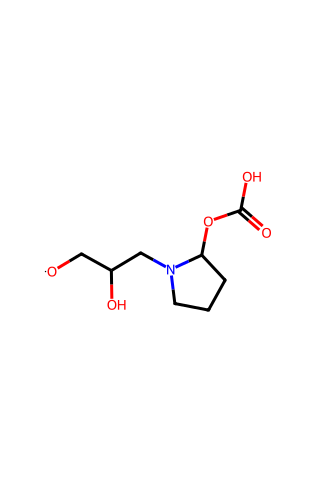 [O]CC(O)CN1CCCC1OC(=O)O